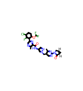 Cc1nc(N2C[C@H]3C[C@H]3C2=O)ncc1Cn1cc(NC(=O)c2nc(-c3c(OC(F)F)ccc(Cl)c3F)cnc2C)cn1